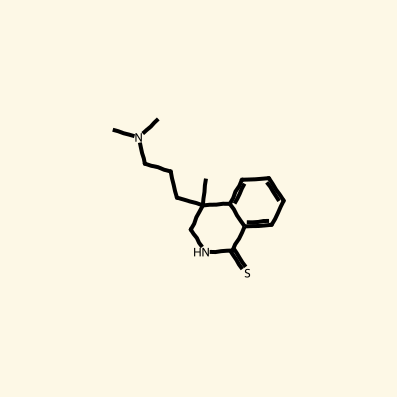 CN(C)CCCC1(C)CNC(=S)c2ccccc21